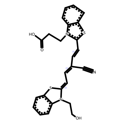 N#CC(=C\C=C1/Sc2ccccc2N1CCO)/C=C/c1sc2ccccc2[n+]1CCC(=O)O